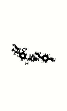 COc1cc(Nc2nc3nc(-c4ccc(C#N)cc4)ccn3n2)ccc1-n1cnc(C)c1